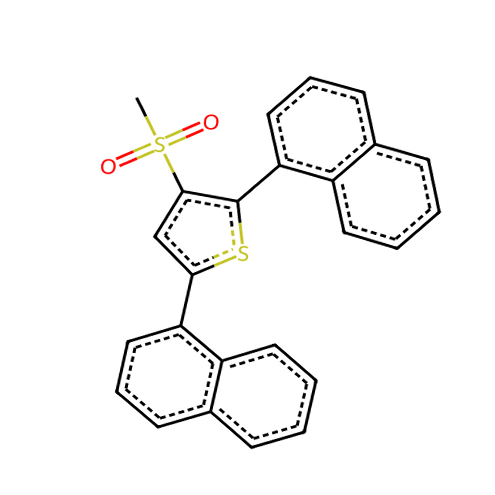 CS(=O)(=O)c1cc(-c2cccc3ccccc23)sc1-c1cccc2ccccc12